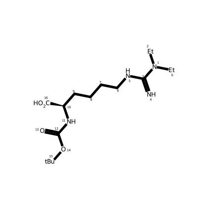 CCN(CC)C(=N)NCCCC[C@@H](NC(=O)OC(C)(C)C)C(=O)O